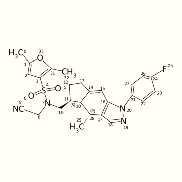 Cc1cc(S(=O)(=O)N(CC#N)C[C@H]2CCC3=Cc4c(cnn4-c4ccc(F)cc4)[C@H](C)C32)c(C)o1